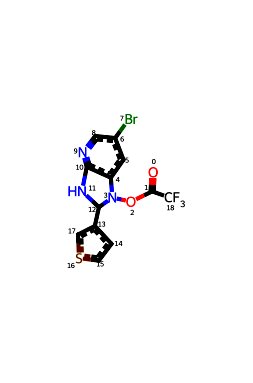 O=C(ON1c2cc(Br)cnc2NC1c1ccsc1)C(F)(F)F